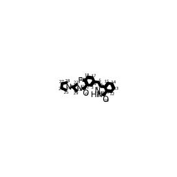 O=C(c1cc(Cc2n[nH]c(=O)c3ccccc23)ccc1F)N1CC(N2CCCC2)C1